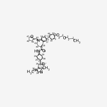 CCCCOCCOc1ccc(-c2ccc3c(c2)C=C(C(=O)Nc2ccc([S@+]([O-])Cc4c(C)ncn4CC)cc2)CCN3C[C@H]2CCCO2)cc1